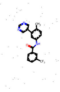 Cc1ccc(NC(=O)c2cccc(C(F)(F)F)c2)cc1-c1cncnc1